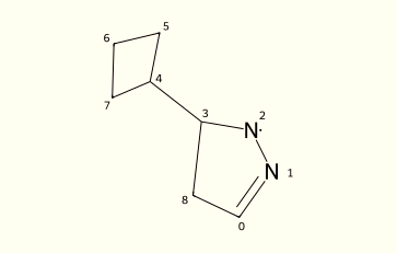 C1=N[N]C(C2CCC2)C1